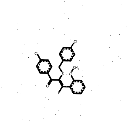 COc1ccccc1C(I)=C(SCc1ccc(Cl)cc1)C(=O)c1ccc(Cl)cc1